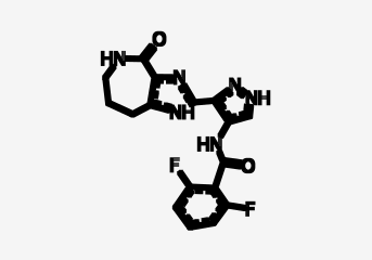 O=C1NCCCc2[nH]c(-c3n[nH]cc3NC(=O)c3c(F)cccc3F)nc21